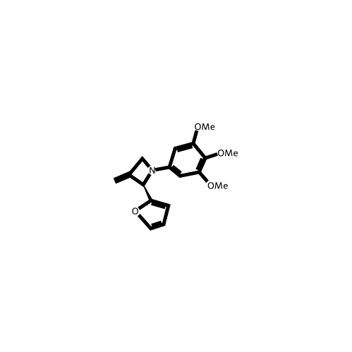 C=C1CN(c2cc(OC)c(OC)c(OC)c2)[C@H]1c1ccco1